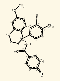 COc1cnc2c(c1)OCC[C@]2(NC(=O)c1ccc(=O)[nH]c1)c1ccc(C)c(F)c1